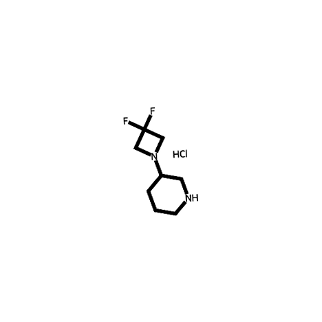 Cl.FC1(F)CN(C2CCCNC2)C1